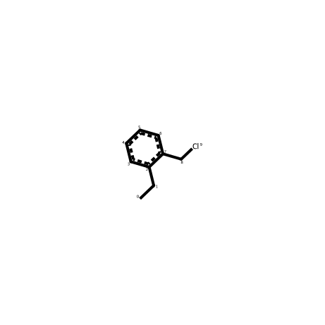 C[CH]c1ccccc1CCl